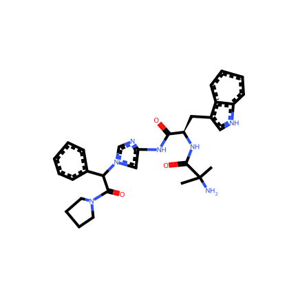 CC(C)(N)C(=O)N[C@H](Cc1c[nH]c2ccccc12)C(=O)Nc1cn(C(C(=O)N2CCCC2)c2ccccc2)cn1